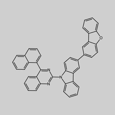 c1ccc2c(-c3nc(-n4c5ccccc5c5cc(-c6ccc7oc8ccccc8c7c6)ccc54)nc4ccccc34)cccc2c1